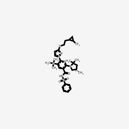 C[C@@H]1CN(c2nc(-n3ccc(OCCC4CC4C(F)(F)F)n3)c([Si](C)(C)C)cc2C(=O)NS(=O)(=O)c2ccccc2)C(C)(C)C1